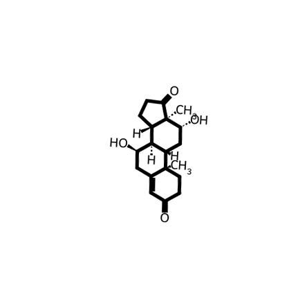 C[C@@]12C(=O)CC[C@H]1[C@@H]1[C@H](O)CC3=CC(=O)CC[C@]3(C)[C@H]1C[C@H]2O